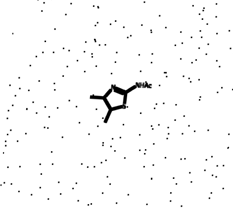 CC(=O)NC1=NC(C)C(C)S1